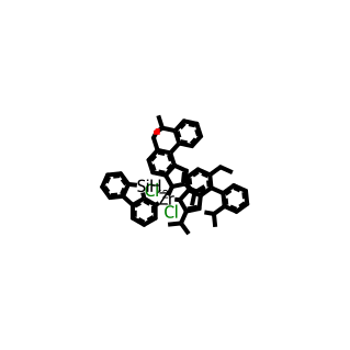 CCc1ccc2c(c1-c1ccccc1C(C)C)C=C(C(C)C)[CH]2[Zr]([Cl])([Cl])([c]1cccc2c1[SiH2]c1ccccc1-2)[CH]1C(C(C)C)=Cc2c1ccc(CC)c2-c1ccccc1C(C)C